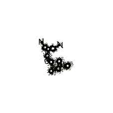 N#Cc1ccc2c(c1)c1cc(C#N)ccc1n2-c1ccc2oc3cc(-n4c5ccccc5c5ccc6c(c7ccccc7n6-c6ccccc6)c54)ccc3c2c1